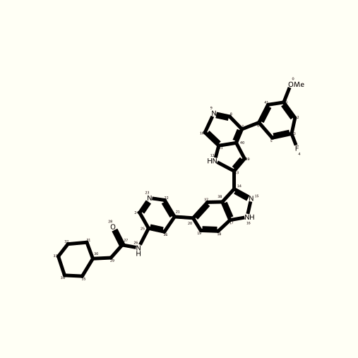 COc1cc(F)cc(-c2cncc3[nH]c(-c4n[nH]c5ccc(-c6cncc(NC(=O)CC7CCCCC7)c6)cc45)cc23)c1